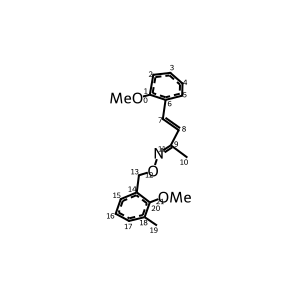 COc1ccccc1C=CC(C)=NOCc1cccc(C)c1OC